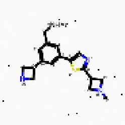 CC(=O)NCc1cc(-c2cnc(C3CN(C)C3)s2)cc(C2CNC2)c1